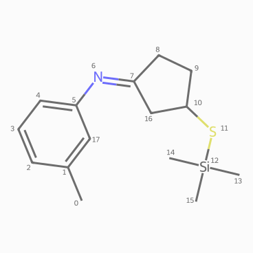 Cc1cccc(N=C2CCC(S[Si](C)(C)C)C2)c1